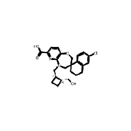 O=C(O)c1ccc2c(n1)N(C[C@@H]1CC[C@H]1CO)CC1(CCCc3cc(Cl)ccc31)CO2